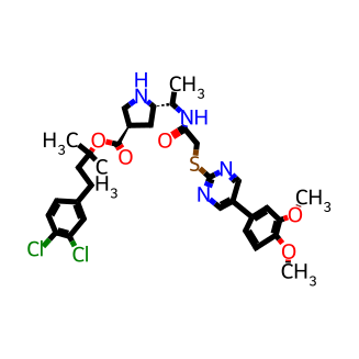 COc1ccc(-c2cnc(SCC(=O)NC(C)[C@@H]3C[C@@H](C(=O)OC(C)(C)CCc4ccc(Cl)c(Cl)c4)CN3)nc2)cc1OC